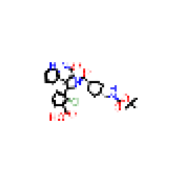 CC(C)(C)OC(=O)NC[C@H]1CC[C@H](C(=O)N2CC(c3cccc(C(=O)O)c3Cl)[C@@H](c3ccccc3)[C@H]2C(N)=O)CC1